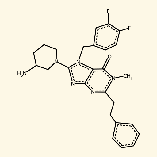 Cn1c(CCc2ccccc2)nc2nc(N3CCCC(N)C3)n(Cc3ccc(F)c(F)c3)c2c1=O